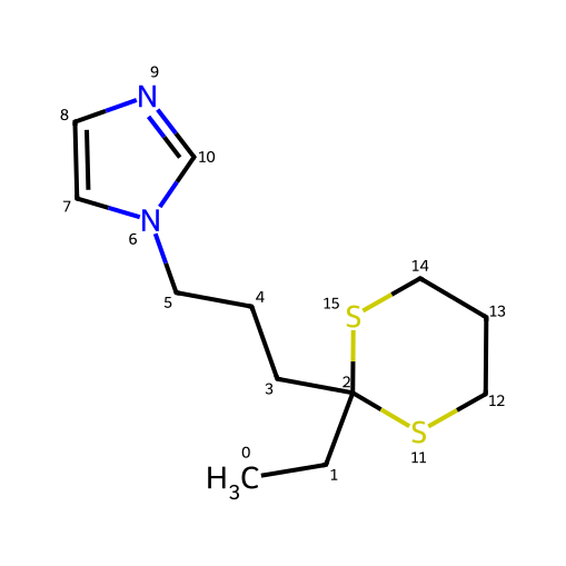 CCC1(CCCn2ccnc2)SCCCS1